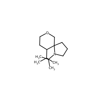 CC(C)C1CCOCC12CCCN2C(C)C